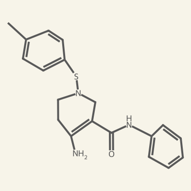 Cc1ccc(SN2CCC(N)=C(C(=O)Nc3ccccc3)C2)cc1